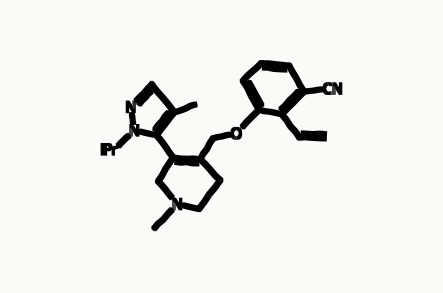 C=Cc1c(C#N)cccc1OCC1=C(c2c(C)cnn2C(C)C)CN(C)CC1